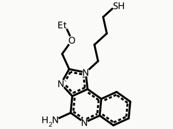 CCOCc1nc2c(N)nc3ccccc3c2n1CCCCS